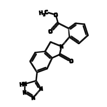 COC(=O)c1ccccc1N1Cc2ccc(-c3nnn[nH]3)cc2C1=O